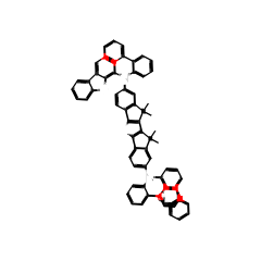 CC1(C)c2cc(N(c3ccccc3-c3ccccc3)c3cccc4c3oc3ccccc34)ccc2-c2sc3c(c21)C(C)(C)c1cc(N(c2ccccc2-c2ccccc2)c2cccc4c2oc2ccccc24)ccc1-3